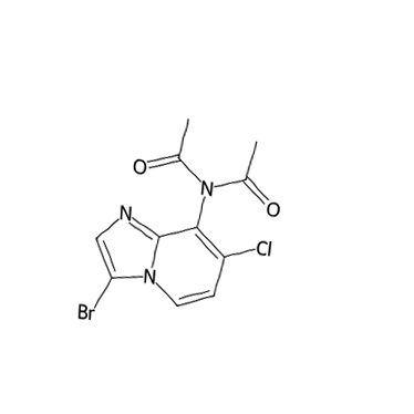 CC(=O)N(C(C)=O)c1c(Cl)ccn2c(Br)cnc12